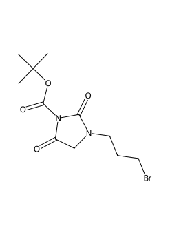 CC(C)(C)OC(=O)N1C(=O)CN(CCCBr)C1=O